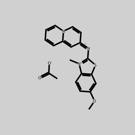 CC(=O)[O-].COc1ccc2c(c1)sc(/N=c1/ccn3ccccc3c1)[n+]2C